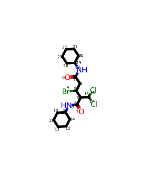 O=C(CC(Br)C(C(=O)NC1CCCCC1)C(Cl)Cl)NC1CCCCC1